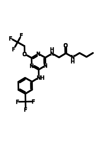 CCCNC(=O)CNc1nc(Nc2cccc(C(F)(F)F)c2)nc(OCC(F)(F)F)n1